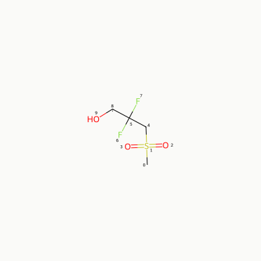 CS(=O)(=O)CC(F)(F)[CH]O